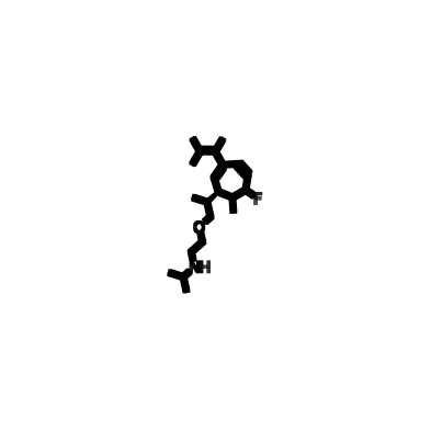 CC(C)=C(C)C1=C[C@H](C(C)COCCNC(C)C)C(C)C(F)C#C1